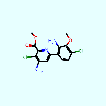 COC(=O)c1nc(-c2ccc(Cl)c(OC)c2N)cc(N)c1Cl